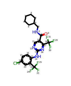 O=C(NCC1CCCCC1)c1cnc(Nc2ccc(Cl)cc2C(F)(F)F)nc1C(F)(F)F